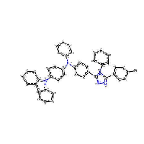 CCc1ccc(-c2nnc(-c3ccc(N(c4ccccc4)c4ccc(-n5c6ccccc6c6ccccc65)cc4)cc3)n2-c2ccccc2)cc1